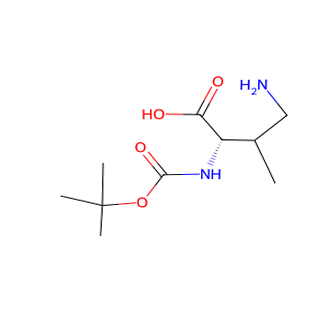 CC(CN)[C@H](NC(=O)OC(C)(C)C)C(=O)O